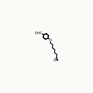 O=Cc1ccc(OCCCCCCC2CO2)cc1